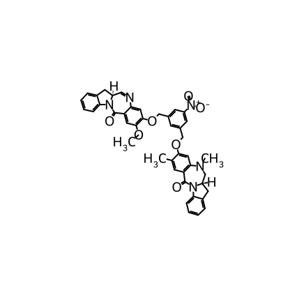 COc1cc2c(cc1OCc1cc(COc3cc4c(cc3C)C(=O)N3c5ccccc5C[C@H]3CN4C)cc([N+](=O)[O-])c1)N=C[C@@H]1Cc3ccccc3N1C2=O